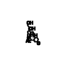 CC(=O)S[C@@H]1CC2=CC(=O)CC[C@]2(C)[C@H]2CC[C@@]3(C)[C@@H](C=C[C@@]3(O)CCCO)[C@H]12